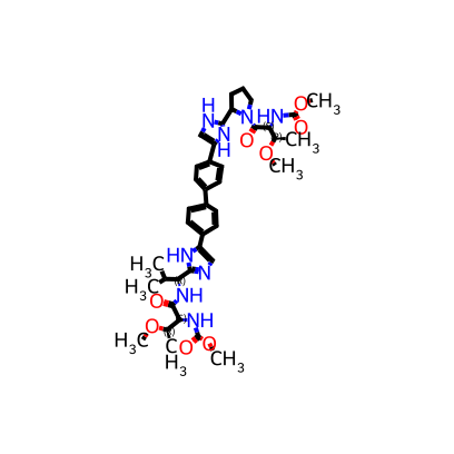 COC(=O)N[C@H](C(=O)N[C@@H](c1ncc(-c2ccc(-c3ccc(C4=CNC(C5CCCN5C(=O)[C@@H](NC(=O)OC)[C@@H](C)OC)N4)cc3)cc2)[nH]1)C(C)C)[C@@H](C)OC